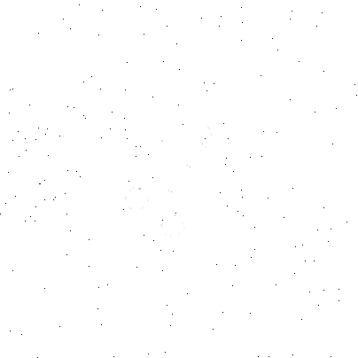 O=C(O)N1CCN(C2CN(C(c3ccccc3)c3ccccc3)C2)C(CO)C1